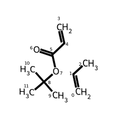 C=CC.C=CC(=O)OC(C)(C)C